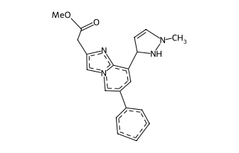 COC(=O)Cc1cn2cc(-c3ccccc3)cc(C3C=CN(C)N3)c2n1